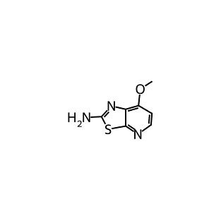 COc1ccnc2sc(N)nc12